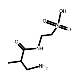 CC(CN)C(=O)NCCS(=O)(=O)O